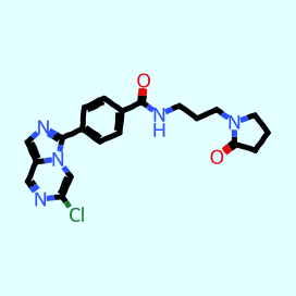 O=C(NCCCN1CCCC1=O)c1ccc(-c2ncc3cnc(Cl)cn23)cc1